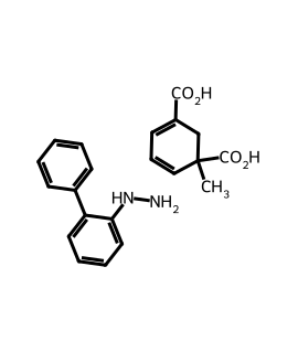 CC1(C(=O)O)C=CC=C(C(=O)O)C1.NNc1ccccc1-c1ccccc1